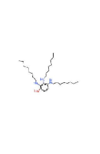 CCCCCCCCNc1ccc(O)c(NCCCCCCCC)c1NCCCCCCCC